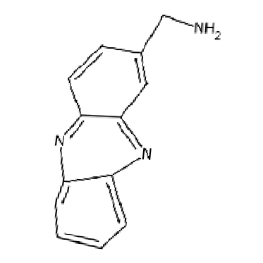 NCc1ccc2nc3ccccc3nc2c1